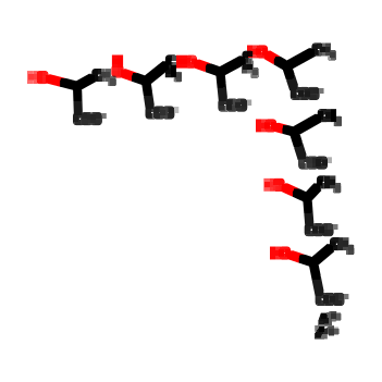 CC(O)C(=O)[O-].CC(O)C(=O)[O-].CC(O)C(=O)[O-].CC(O)C(=O)[O-].CC(O)C(=O)[O-].CC(O)C(=O)[O-].CC(O)C(=O)[O-].[Al+3].[Zr+4]